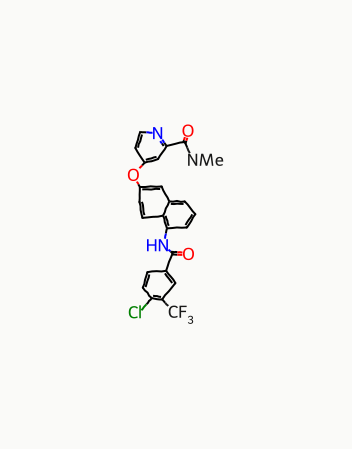 CNC(=O)c1cc(Oc2ccc3c(NC(=O)c4ccc(Cl)c(C(F)(F)F)c4)cccc3c2)ccn1